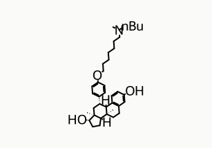 CCCCN(C)CCCCCCCOc1ccc([C@H]2C[C@@]3(C)[C@@H](CC[C@@H]3O)[C@]3(C)CCc4cc(O)ccc4[C@@H]23)cc1